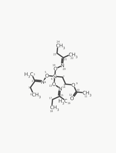 CCC(C)=NO[Si](CCOC(C)=O)(ON=C(C)CC)ON=C(C)CC